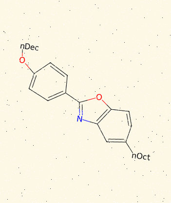 CCCCCCCCCCOc1ccc(-c2nc3cc(CCCCCCCC)ccc3o2)cc1